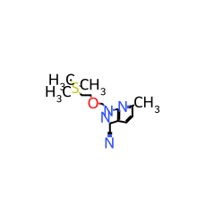 Cc1ccc2c(C#N)nn(COCCS(C)(C)C)c2n1